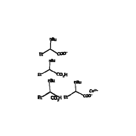 CCCCC(CC)C(=O)O.CCCCC(CC)C(=O)O.CCCCC(CC)C(=O)[O-].CCCCC(CC)C(=O)[O-].[Co+2]